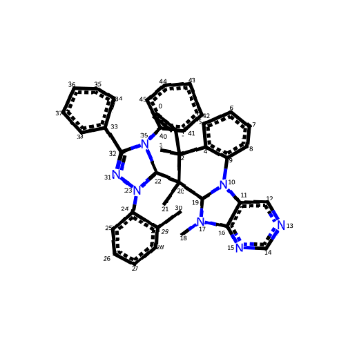 C=CC1(C)c2ccccc2N2c3cncnc3N(C)C2C1(C)C1N(c2ccccc2C)N=C(c2ccccc2)N1c1ccccc1